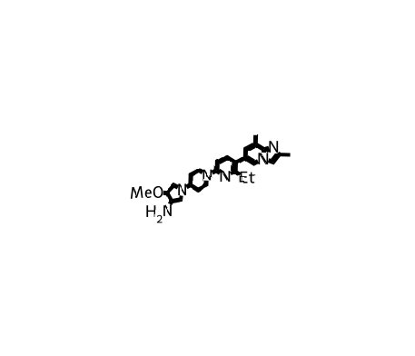 CCc1nc(N2CCC(N3CC(N)C(OC)C3)CC2)ccc1-c1cc(C)c2nc(C)cn2c1